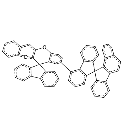 c1ccc2c(c1)-c1ccccc1C21c2cc(-c3cccc4c3-c3ccccc3C43c4ccccc4-c4ccc5ccccc5c43)ccc2Oc2cc3ccccc3cc21